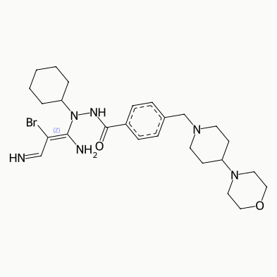 N=C/C(Br)=C(\N)N(NC(=O)c1ccc(CN2CCC(N3CCOCC3)CC2)cc1)C1CCCCC1